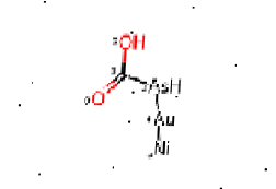 O=C(O)[AsH][Au][Ni]